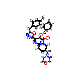 O=c1c(OCc2ccccc2)c(-c2nnc(Cc3ccc(F)cc3)o2)nc2ccc(CN3CCOCC3)cn12